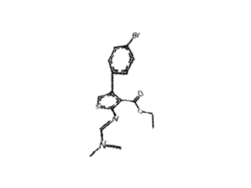 CCOC(=O)c1c(-c2ccc(Br)cc2)csc1/N=C/N(C)C